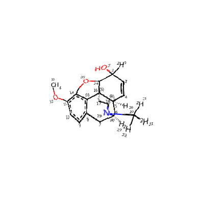 [2H]C1(O)C=C[C@H]2[C@H]3Cc4ccc(OC)c5c4[C@@]2(CCN3C([2H])([2H])[2H])C1O5